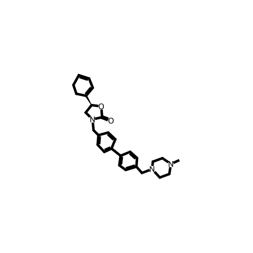 CN1CCN(Cc2ccc(-c3ccc(CN4C[C@@H](C5=CC=CCC5)OC4=O)cc3)cc2)CC1